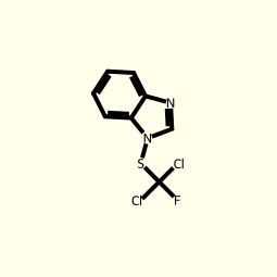 FC(Cl)(Cl)Sn1cnc2ccccc21